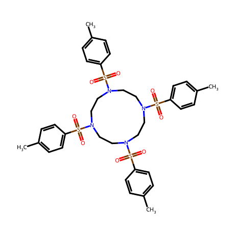 Cc1ccc(S(=O)(=O)N2CCN(S(=O)(=O)c3ccc(C)cc3)CCN(S(=O)(=O)c3ccc(C)cc3)CCN(S(=O)(=O)c3ccc(C)cc3)CC2)cc1